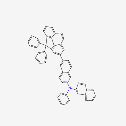 c1ccc(N(c2ccc3ccccc3c2)c2ccc3cc(-c4cc5c6c(ccc7cccc(c76)C5(c5ccccc5)c5ccccc5)c4)ccc3c2)cc1